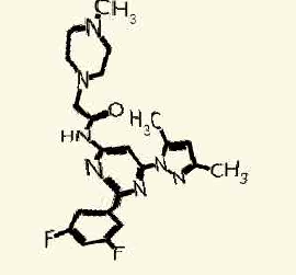 Cc1cc(C)n(-c2cc(NC(=O)CN3CCN(C)CC3)nc(-c3cc(F)cc(F)c3)n2)n1